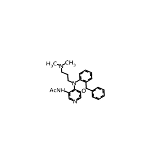 CC(=O)Nc1cnccc1N(CCCN(C)C)c1ccccc1C(=O)c1ccccc1